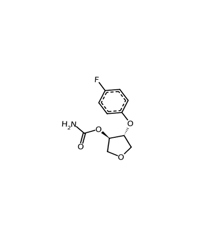 NC(=O)O[C@@H]1COC[C@H]1Oc1ccc(F)cc1